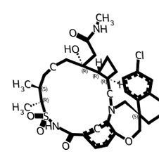 CNC(=O)C[C@]1(O)CCC[C@H](C)[C@@H](C)S(=O)(=O)NC(=O)c2ccc3c(c2)N(C[C@@H]2CC[C@H]21)C[C@@]1(CCCc2cc(Cl)ccc21)CO3